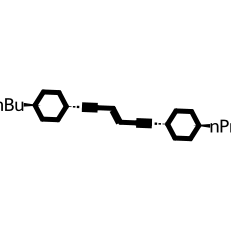 CCCC[C@H]1CC[C@H](C#C/C=C/C#C[C@H]2CC[C@H](CCC)CC2)CC1